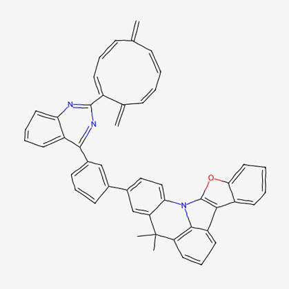 C=c1ccccc(=C)c(-c2nc(-c3cccc(-c4ccc5c(c4)C(C)(C)c4cccc6c7c8ccccc8oc7n-5c46)c3)c3ccccc3n2)ccc1